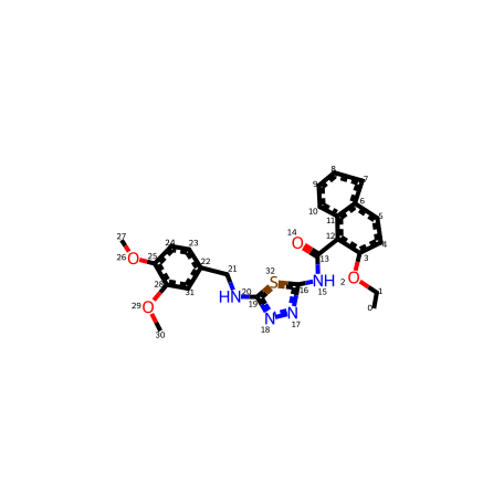 CCOc1ccc2ccccc2c1C(=O)Nc1nnc(NCc2ccc(OC)c(OC)c2)s1